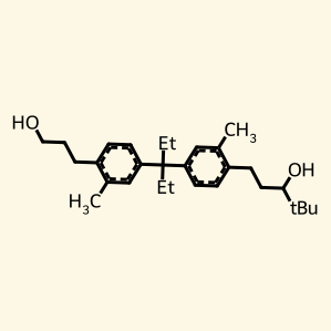 CCC(CC)(c1ccc(CCCO)c(C)c1)c1ccc(CCC(O)C(C)(C)C)c(C)c1